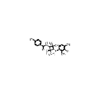 Cc1c(O[C@H]2C(C)(C)[C@H](NC(=O)c3ccc(C(C)C)cc3)C2(C)C)ccc(C#N)c1Cl